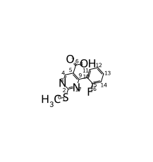 CSc1ncc(C(=O)O)c(-c2ccccc2F)n1